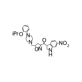 CC(C)Oc1ccccc1N1CCN(CC2CC(C(=O)C3CNc4cc([N+](=O)[O-])ccc43)=NO2)CC1